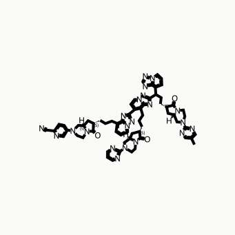 Cc1cnc(N2CCN3C(=O)[C@@H](CCC(c4nc5c(CCC[C@H]6C[C@H]7CN(c8ncccn8)CCN7C6=O)c(-c6nc7c(CCC[C@H]8C[C@H]9CN(c%10ccc(C#N)nc%10)CCN9C8=O)cccn7n6)ccn5n4)c4cccn5ncnc45)C[C@H]3C2)nc1